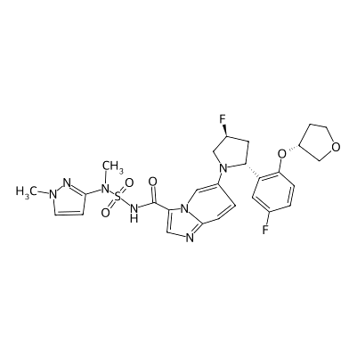 CN(c1ccn(C)n1)S(=O)(=O)NC(=O)c1cnc2ccc(N3C[C@@H](F)C[C@@H]3c3cc(F)ccc3O[C@@H]3CCOC3)cn12